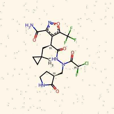 CC1(C[C@H](C(=O)NN(C[C@@H]2CCNC2=O)C(=O)[C@H](F)Cl)c2c(C(N)=O)noc2C(F)(F)F)CC1